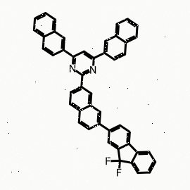 FC1(F)c2ccccc2-c2ccc(-c3ccc4ccc(-c5nc(-c6ccc7ccccc7c6)cc(-c6ccc7ccccc7c6)n5)cc4c3)cc21